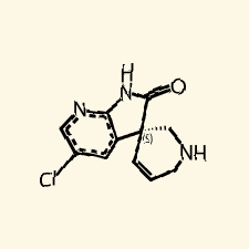 O=C1Nc2ncc(Cl)cc2[C@]12C=CCNC2